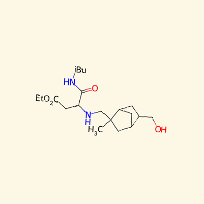 CCOC(=O)CC(NCC1(C)CC2CC1CC2CO)C(=O)NC(C)CC